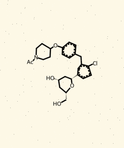 CC(=O)N1CCC(Oc2ccc(Cc3cc([C@H]4C[C@@H](O)C[C@@H](CO)O4)ccc3Cl)cc2)CC1